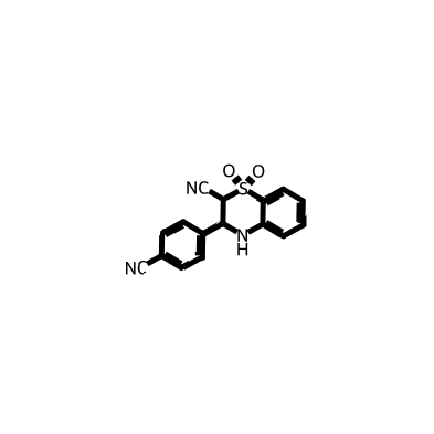 N#Cc1ccc(C2Nc3ccccc3S(=O)(=O)C2C#N)cc1